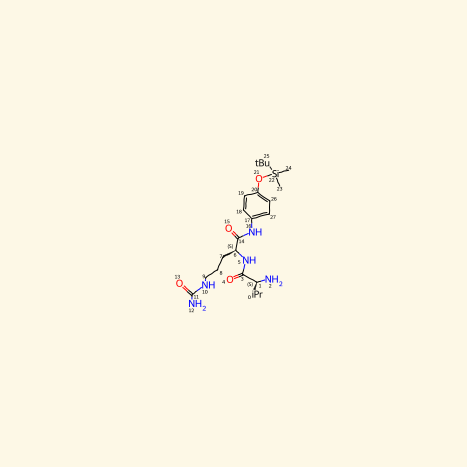 CC(C)[C@H](N)C(=O)N[C@@H](CCCNC(N)=O)C(=O)Nc1ccc(O[Si](C)(C)C(C)(C)C)cc1